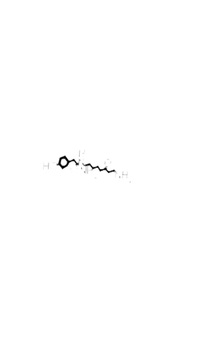 NCCC(=O)CCCCC(N)NC(=O)Cc1ccc(O)cc1